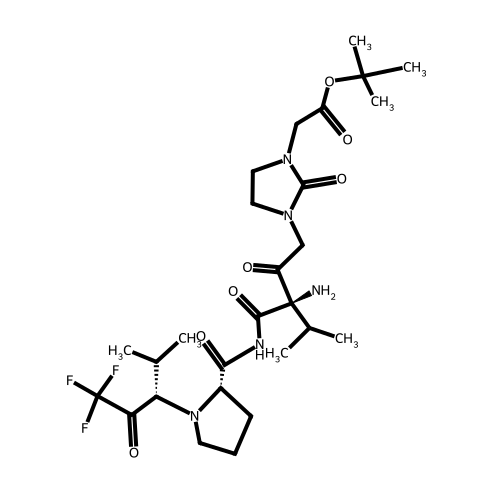 CC(C)[C@@H](C(=O)C(F)(F)F)N1CCC[C@H]1C(=O)NC(=O)[C@](N)(C(=O)CN1CCN(CC(=O)OC(C)(C)C)C1=O)C(C)C